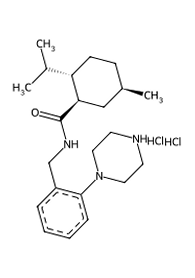 CC(C)[C@@H]1CC[C@@H](C)C[C@H]1C(=O)NCc1ccccc1N1CCNCC1.Cl.Cl